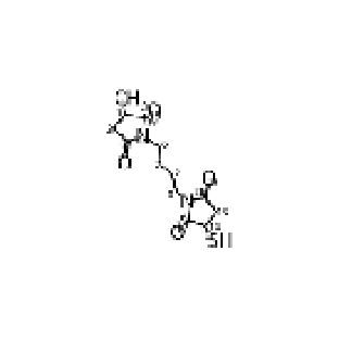 CC1CC(=O)N(CCCCN2C(=O)CC(S)C2=O)C1=O